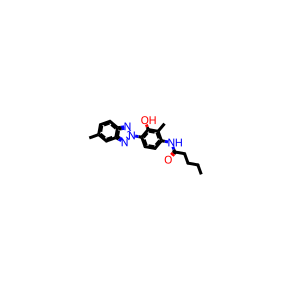 CCCCC(=O)Nc1ccc(-n2nc3ccc(C)cc3n2)c(O)c1C